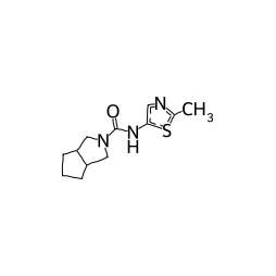 Cc1ncc(NC(=O)N2CC3CCCC3C2)s1